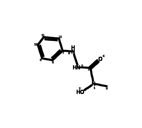 CN(O)C(=O)NNc1ccccc1